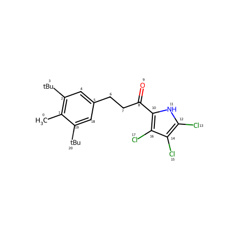 Cc1c(C(C)(C)C)cc(CCC(=O)c2[nH]c(Cl)c(Cl)c2Cl)cc1C(C)(C)C